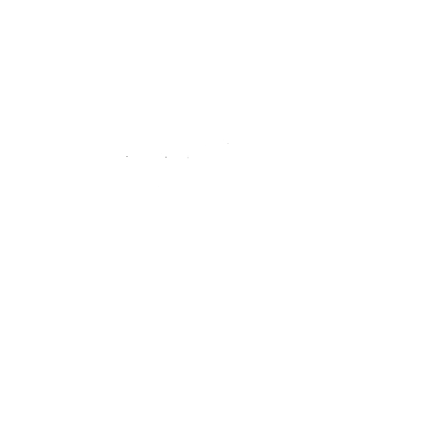 C=CCCCCCC[Si](C)(Br)Br.C=CCCCC[Si](Cl)(Cl)Cl